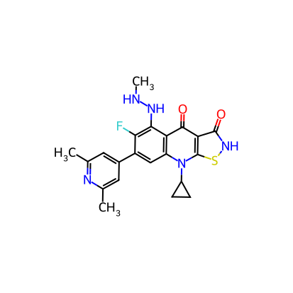 CNNc1c(F)c(-c2cc(C)nc(C)c2)cc2c1c(=O)c1c(=O)[nH]sc1n2C1CC1